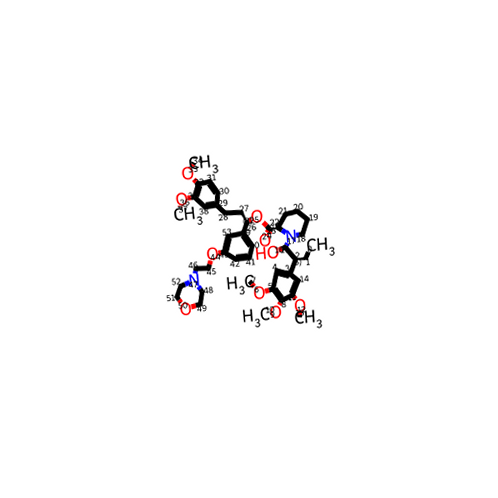 CC[C@@H](c1cc(OC)c(OC)c(OC)c1)C(O)N1CCCC[C@H]1C(=O)O[C@H](CCc1ccc(OC)c(OC)c1)c1cccc(OCCN2CCOCC2)c1